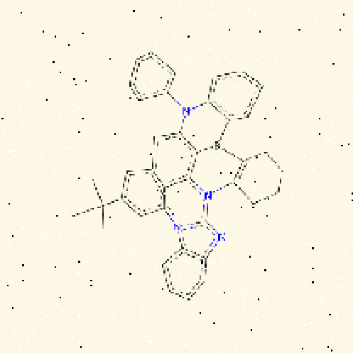 CC(C)(C)c1cc2cc3c4c5c2c(c1)n1c2ccccc2nc1n5C1=C(CCCC1)B4c1ccccc1N3c1ccccc1